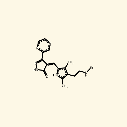 CCNCCc1c(C)[nH]c(C=C2C(=O)NN=C2c2cnccn2)c1C